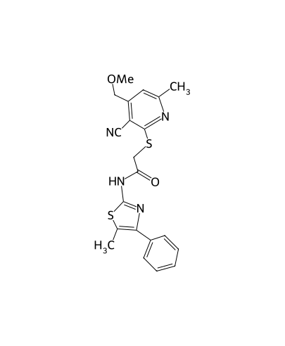 COCc1cc(C)nc(SCC(=O)Nc2nc(-c3ccccc3)c(C)s2)c1C#N